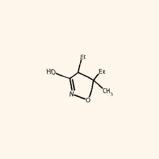 CCC1C(O)=NOC1(C)CC